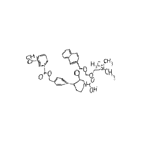 COc1cccc(C(=O)OCc2ccc(C3CCN(C(=O)O)CC3OC(OCOCC[Si](C)(C)C)c3ccc4ccccc4c3)cc2)c1